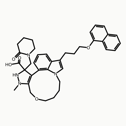 CN1NC(CN2CCCCC2=O)(C(=O)O)C2=C1COCCCCn1cc(CCCOc3cccc4ccccc34)c3cccc2c31